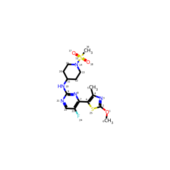 COc1nc(C)c(-c2nc(NC3CCN(S(C)(=O)=O)CC3)ncc2F)s1